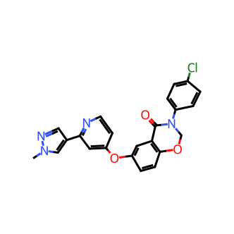 Cn1cc(-c2cc(Oc3ccc4c(c3)C(=O)N(c3ccc(Cl)cc3)CO4)ccn2)cn1